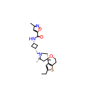 CCc1cc2c(s1)CCO[C@@]21CCN(C[C@H]2C[C@@H](NC(=O)c3cc(C)no3)C2)[C@@H](C)C1